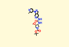 COC1CN(C(=O)OC(C)(C)C)CC1NC(=O)Nc1cc2cnn(-c3ccnc(C)c3)c2cn1